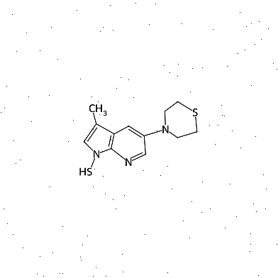 Cc1cn(S)c2ncc(N3CCSCC3)cc12